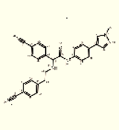 Cn1cc(-c2ccc(NC(=O)C(NCCc3ccc(C#N)cc3)c3ccc(C#N)cc3)nc2)cn1